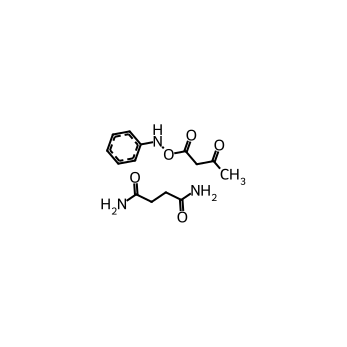 CC(=O)CC(=O)ONc1ccccc1.NC(=O)CCC(N)=O